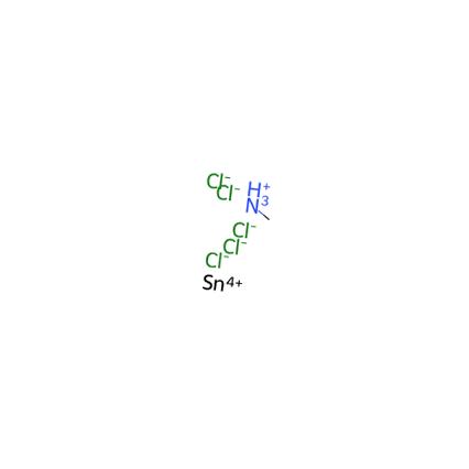 C[NH3+].[Cl-].[Cl-].[Cl-].[Cl-].[Cl-].[Sn+4]